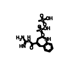 CS(=O)(=O)O.CS(=O)(=O)O.N=C(N)NC(=O)C1=Cc2ccccc2NCC1